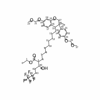 CCOC(=O)C(CCCCCCCCCC1c2ccc(OCOC)cc2OCC1(C)c1ccc(OCOC)cc1)C(O)CCC(F)(F)C(F)(F)F